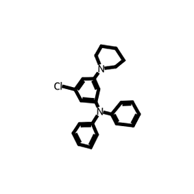 Clc1cc(N2CCCCC2)cc(N(c2ccccc2)c2ccccc2)c1